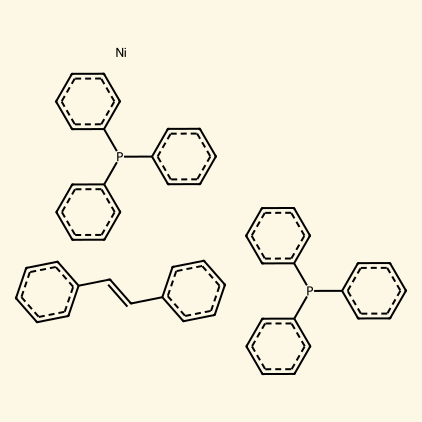 C(=Cc1ccccc1)c1ccccc1.[Ni].c1ccc(P(c2ccccc2)c2ccccc2)cc1.c1ccc(P(c2ccccc2)c2ccccc2)cc1